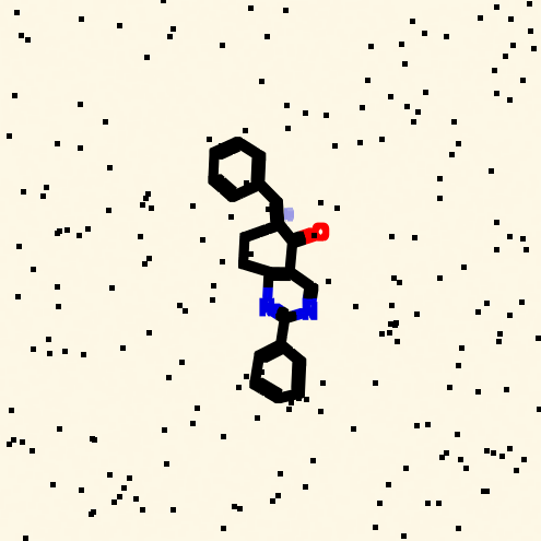 O=C1/C(=C/c2ccccc2)CCc2nc(-c3ccccc3)ncc21